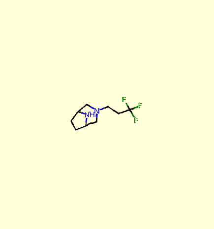 FC(F)(F)CCN1CC2CCC(C1)N2